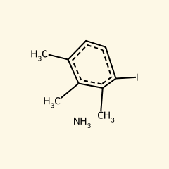 Cc1ccc(I)c(C)c1C.N